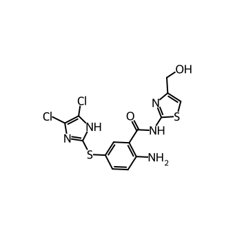 Nc1ccc(Sc2nc(Cl)c(Cl)[nH]2)cc1C(=O)Nc1nc(CO)cs1